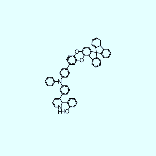 Oc1ccccc1C1NC=CC=C1c1cccc(N(c2ccccc2)c2ccc(-c3c#cc4c(c3)Oc3c(ccc5c3-c3ccccc3C53C5=CC=CCC5c5ccccc53)O4)cc2)c1